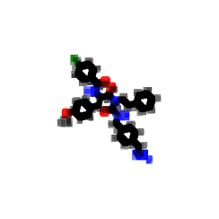 CCOc1ccc(C[C@@H](NC(=O)c2ccc(F)cc2)C(=O)N(CCc2ccccc2)C(=O)NCc2ccc(CN)cc2)cc1